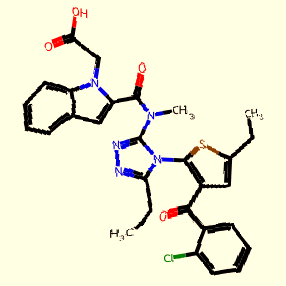 CCc1cc(C(=O)c2ccccc2Cl)c(-n2c(CC)nnc2N(C)C(=O)c2cc3ccccc3n2CC(=O)O)s1